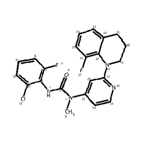 CN(C(=O)Nc1c(F)cccc1Cl)c1ccnc(N2CCCc3cccc(F)c32)c1